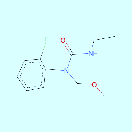 CCNC(=O)N(COC)c1ccccc1F